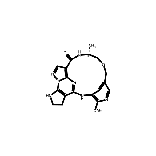 COc1ncc2cc1Nc1nc3c(cnn3c3c1CCN3)C(=O)N[C@H](C)COC2